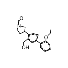 CCOc1ccccc1-c1ccc(C2CCN(C=O)C2)c(CO)c1